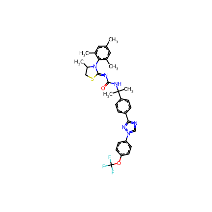 Cc1cc(C)c(N2/C(=N/C(=O)NC(C)(C)c3ccc(-c4ncn(-c5ccc(OC(F)(F)F)cc5)n4)cc3)SCC2C)c(C)c1